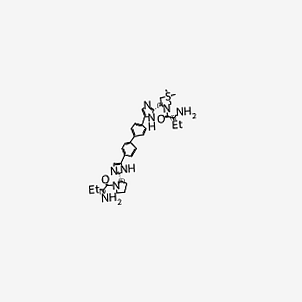 CC[C@H](N)C(=O)N1CCC[C@H]1c1ncc(-c2ccc(-c3ccc(-c4cnc([C@@H]5CS(C)(C)CN5C(=O)[C@@H](N)CC)[nH]4)cc3)cc2)[nH]1